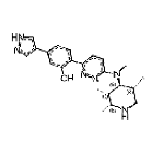 C[C@@H]1[C@@H](N(C)c2ccc(-c3ccc(-c4cn[nH]c4)cc3O)nn2)[C@H](C)CN[C@@H]1C